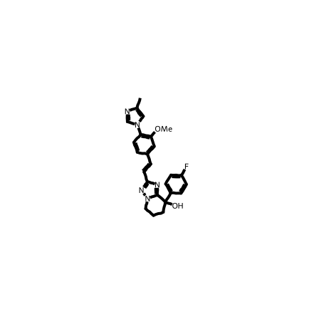 COc1cc(C=Cc2nc3n(n2)CCCC3(O)c2ccc(F)cc2)ccc1-n1cnc(C)c1